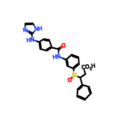 O=C(O)CC(c1ccccc1)[S+]([O-])c1cccc(NC(=O)c2ccc(Nc3ncc[nH]3)cc2)c1